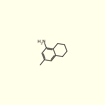 Cc1cc(N)c2c(c1)CCCC2